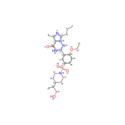 CCCc1nc(C)c2c(=O)[nH]c(-c3cc(S(=O)(=O)N4CCC(C(C)CO)CC4)ccc3OCC)nn12